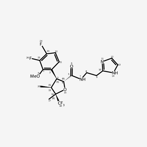 COc1c([C@H]2[C@H](C(=O)NCCc3ncc[nH]3)O[C@@](C)(C(F)(F)F)[C@H]2C)ccc(F)c1F